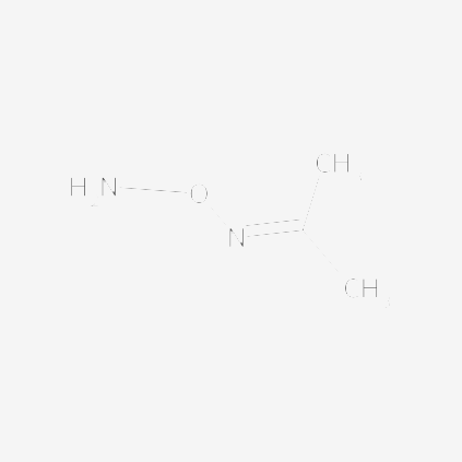 CC(C)=NON